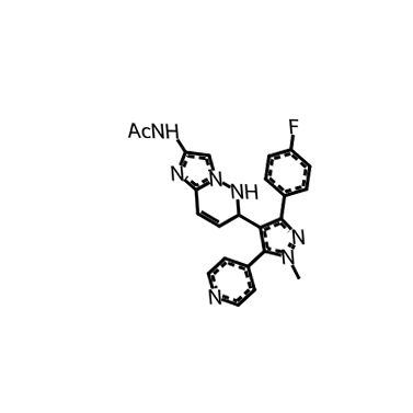 CC(=O)Nc1cn2c(n1)C=CC(c1c(-c3ccc(F)cc3)nn(C)c1-c1ccncc1)N2